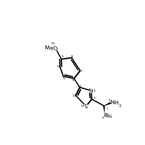 CC[C@H](C)[C@H](N)c1nc(-c2ccc(OC)cc2)cs1